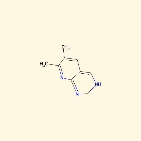 Cc1cc2c(nc1C)=NCNC=2